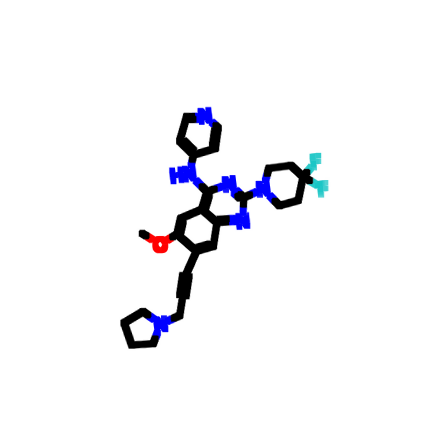 COc1cc2c(Nc3ccncc3)nc(N3CCC(F)(F)CC3)nc2cc1C#CCN1CCCC1